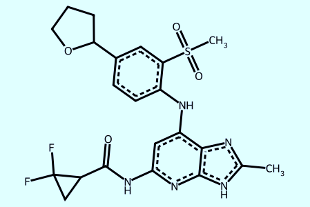 Cc1nc2c(Nc3ccc(C4CCCO4)cc3S(C)(=O)=O)cc(NC(=O)C3CC3(F)F)nc2[nH]1